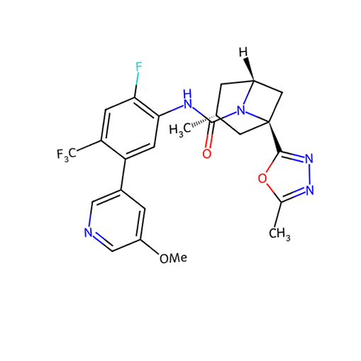 COc1cncc(-c2cc(NC(=O)N3[C@@H]4C[C@@H](C)C[C@@]3(c3nnc(C)o3)C4)c(F)cc2C(F)(F)F)c1